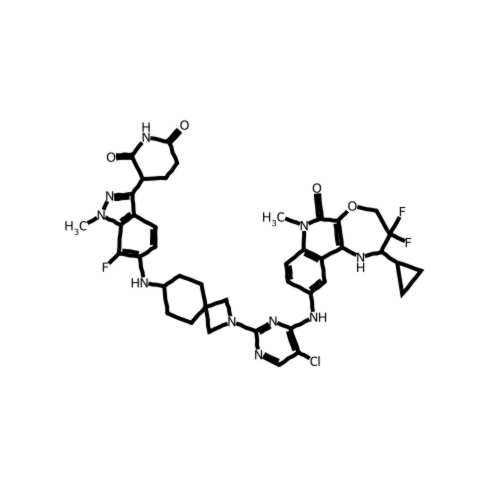 Cn1nc(C2CCC(=O)NC2=O)c2ccc(NC3CCC4(CC3)CN(c3ncc(Cl)c(Nc5ccc6c(c5)c5c(c(=O)n6C)OCC(F)(F)C(C6CC6)N5)n3)C4)c(F)c21